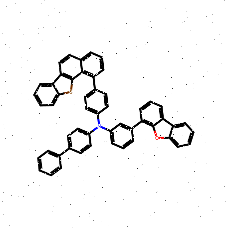 c1ccc(-c2ccc(N(c3ccc(-c4cccc5ccc6c7ccccc7sc6c45)cc3)c3cccc(-c4cccc5c4oc4ccccc45)c3)cc2)cc1